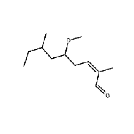 CCC(C)CC(CC=C(C)C=O)OC